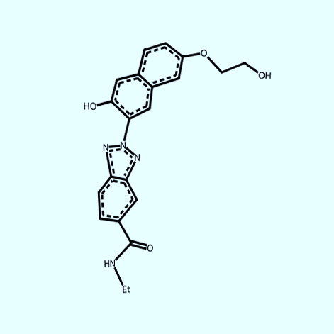 CCNC(=O)c1ccc2nn(-c3cc4cc(OCCO)ccc4cc3O)nc2c1